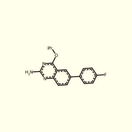 CC(C)Oc1nc(N)nc2ccc(-c3ccc(F)cc3)cc12